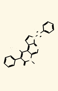 COc1c(-c2ccccc2)c(=O)n(C)c2cnc3c(ccn3S(=O)(=O)c3ccccc3)c12